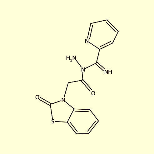 N=C(c1ccccn1)N(N)C(=O)Cn1c(=O)sc2ccccc21